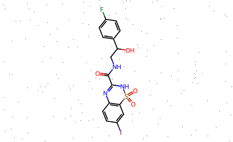 O=C(NCC(O)c1ccc(F)cc1)C1=Nc2ccc(I)cc2S(=O)(=O)N1